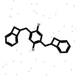 Brc1cc(CC2Cc3ccccc32)c(Br)cc1CC1Cc2ccccc21